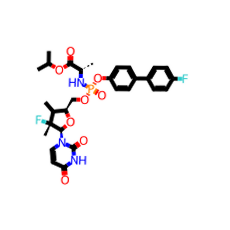 CC(C)OC(=O)[C@H](C)NP(=O)(OC[C@H]1O[C@@H](n2ccc(=O)[nH]c2=O)[C@](C)(F)C1C)Oc1ccc(-c2ccc(F)cc2)cc1